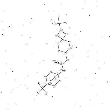 CC(C)(C)N1CC2(CCN(CC(=O)NC34CCC(C(C)(C)C)(CC3)CC4)CC2)C1